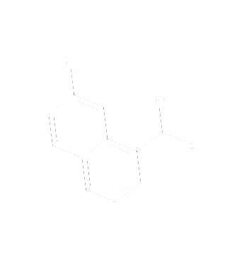 CCC(CC)c1cccc2ccc(O)cc12